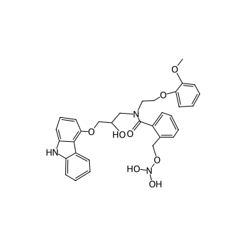 COc1ccccc1OCCN(CC(O)COc1cccc2[nH]c3ccccc3c12)C(=O)c1ccccc1CON(O)O